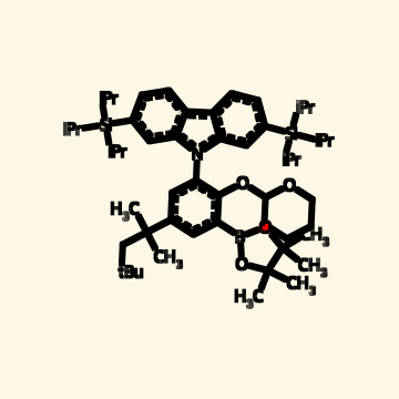 CC(C)[Si](c1ccc2c3ccc([Si](C(C)C)(C(C)C)C(C)C)cc3n(-c3cc(C(C)(C)CC(C)(C)C)cc(B4OC(C)(C)C(C)(C)O4)c3OC3CCCCO3)c2c1)(C(C)C)C(C)C